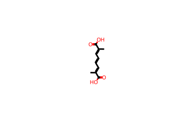 C\C(=C/C=C/C=C(\C)C(=O)O)C(=O)O